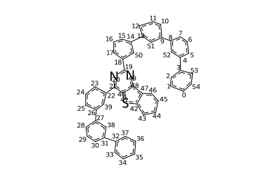 c1ccc(-c2cccc(-c3cccc(-c4cccc(-c5nc(-c6cccc(-c7cccc(-c8ccccc8)c7)c6)c6sc7ccccc7c6n5)c4)c3)c2)cc1